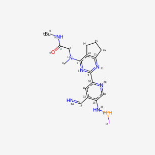 CN(CC(=O)NC(C)(C)C)c1nc(-c2cc(C=N)c(NPI)cn2)nc2c1CCC2